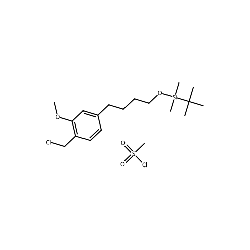 COc1cc(CCCCO[Si](C)(C)C(C)(C)C)ccc1CCl.CS(=O)(=O)Cl